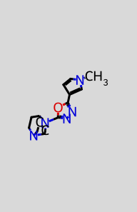 Cn1ccc(-c2nnc(N3CCN4CCC3CC4)o2)c1